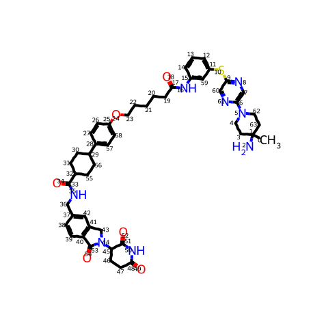 CC1(N)CCN(c2cnc(Sc3cccc(NC(=O)CCCCCOc4ccc(C5CCC(C(=O)NCc6ccc7c(c6)CN(C6CCC(=O)NC6=O)C7=O)CC5)cc4)c3)cn2)CC1